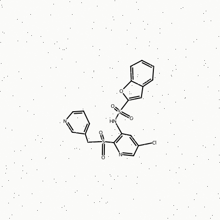 O=S(=O)(Cc1cccnc1)c1ncc(Cl)cc1NS(=O)(=O)c1cc2ccccc2o1